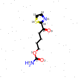 NC(=O)OCCC[CH]C(=O)c1nccs1